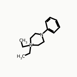 CC[N+]1(CC)CCN(c2ccccc2)CC1